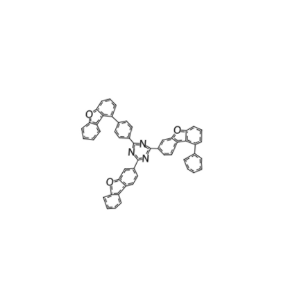 c1ccc(-c2cccc3oc4cc(-c5nc(-c6ccc(-c7cccc8oc9ccccc9c78)cc6)nc(-c6ccc7c(c6)oc6ccccc67)n5)ccc4c23)cc1